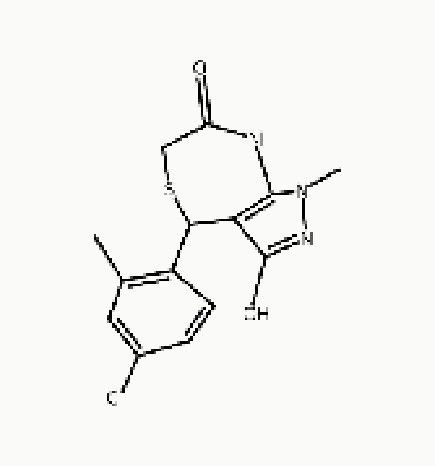 Cc1cc(Cl)ccc1C1SCC(=O)Nc2c1c(O)nn2C